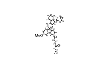 COc1ccc(C2(c3ccc(OCCOC(=O)CCC(C)=O)cc3)C=Cc3c(cc(N4CCOCC4)c4ccccc34)O2)cc1